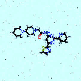 O=C(CN1CCC(N2CCCCC2)CC1)Nc1cc(-c2nccs2)nc(-c2ccccn2)n1